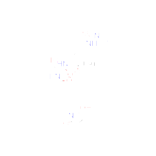 CC(C)(C)C(=O)[C@H](CCCNC(N)=O)NC(=O)[C@H](CO)NC(=O)CCCCCN1C(=O)C=CC1O